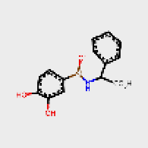 O=C(O)C(N[S+]([O-])c1ccc(O)c(O)c1)c1ccccc1